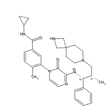 Cc1ccc(C(=O)NC2CC2)cc1-n1ccnc(N[C@@H](c2ccccc2)[C@@H](C)CN2CCC3(CC2)CNC3)c1=O